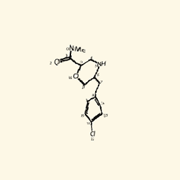 CNC(=O)C1CNC(Cc2ccc(Cl)cc2)CO1